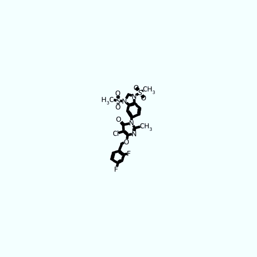 Cc1nc(OCc2ccc(F)cc2F)c(Cl)c(=O)n1-c1ccc2c(c1)N(S(C)(=O)=O)CN2S(C)(=O)=O